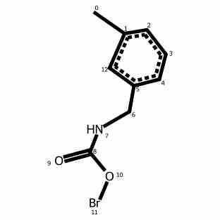 Cc1cccc(CNC(=O)OBr)c1